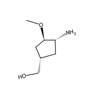 CO[C@@H]1C[C@@H](CO)C[C@H]1N